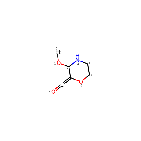 CCOC1NCCOC1=C=O